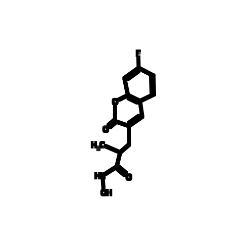 CC(Cc1cc2ccc(F)cc2oc1=O)C(=O)NO